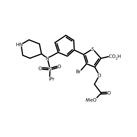 COC(=O)COc1c(C(=O)O)sc(-c2cccc(N(C3CCNCC3)S(=O)(=O)C(C)C)c2)c1Br